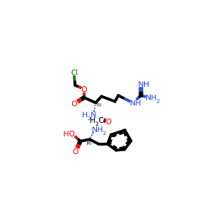 C=O.N=C(N)NCCC[C@H](N)C(=O)OCCl.N[C@H](Cc1ccccc1)C(=O)O